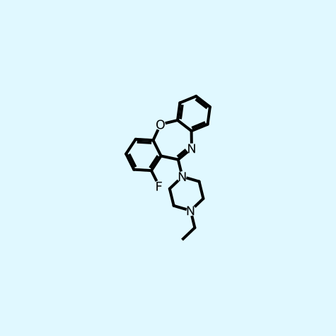 CCN1CCN(C2=Nc3ccccc3Oc3cccc(F)c32)CC1